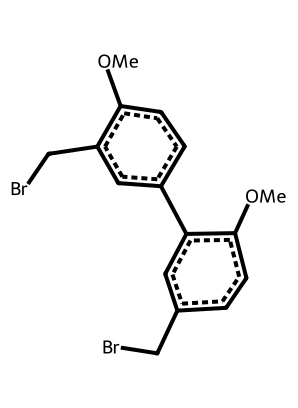 COc1ccc(-c2cc(CBr)ccc2OC)cc1CBr